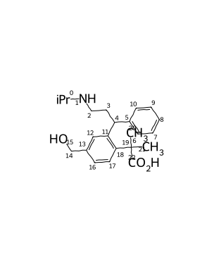 CC(C)NCCC(c1ccccc1)c1cc(CO)ccc1C(C)(C)C(=O)O